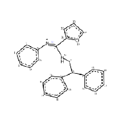 c1ccc(/N=C(\NCC(c2ccccc2)c2ccccc2)c2ccco2)cc1